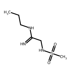 CCCNC(=N)CNS(C)(=O)=O